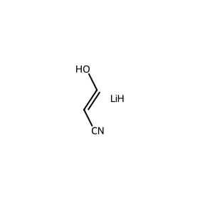 N#CC=CO.[LiH]